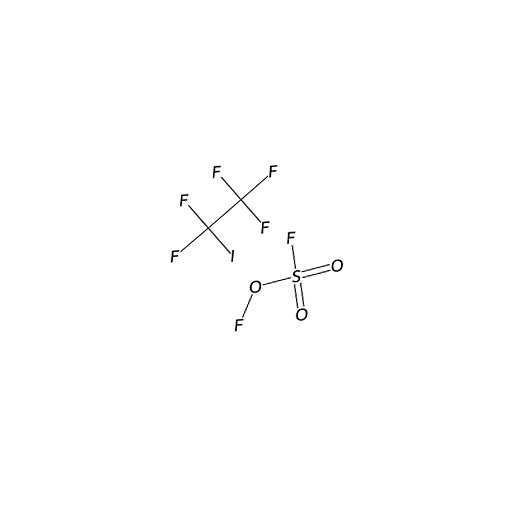 FC(F)(F)C(F)(F)I.O=S(=O)(F)OF